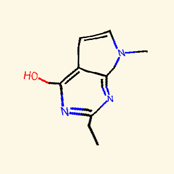 Cc1nc(O)c2ccn(C)c2n1